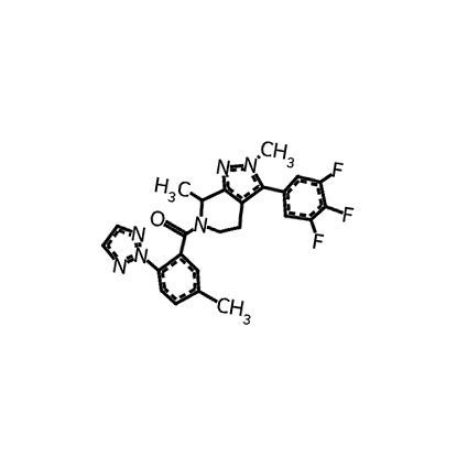 Cc1ccc(-n2nccn2)c(C(=O)N2CCc3c(nn(C)c3-c3cc(F)c(F)c(F)c3)C2C)c1